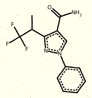 CC(c1nn(-c2ccccc2)cc1C(N)=O)C(F)(F)F